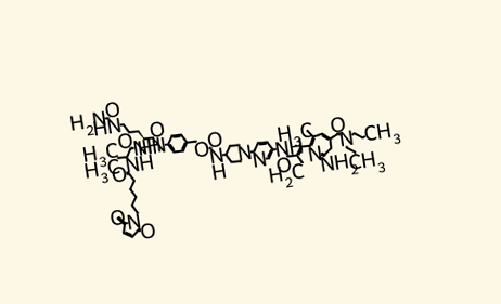 C=C/C(=C\C1=C(C)C=C(C(=O)N(CCC)CCC)CC(N)=N1)C(=O)Nc1ccc(N2CCC(NC(=O)OCc3ccc(NC(=O)[C@H](CCCNC(N)=O)NC(=O)[C@@H](NC(=O)CCCCCN4C(=O)C=CC4=O)C(C)C)cc3)CC2)nc1